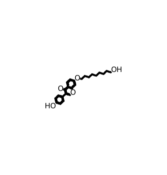 O=c1c(-c2ccc(O)cc2)coc2cc(OCCCCCCCCCO)ccc12